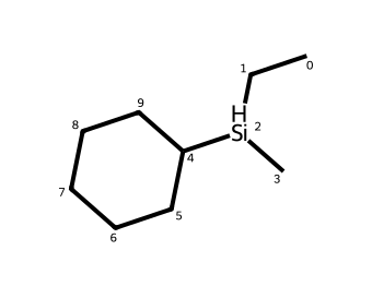 CC[SiH](C)C1CCCCC1